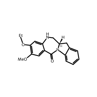 CCOc1cc2c(cc1OC)C(=O)N1c3ccccc3C[C@H]1CN2